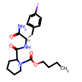 CCCCOC(=O)N1CCCCC1C(=O)N[C@@H](Cc1ccc(I)cc1)C(N)=O